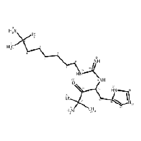 CCC(C)(N)CCCCCCNC(=N)NC(Cc1cnc[nH]1)C(=O)C(C)(N)CC